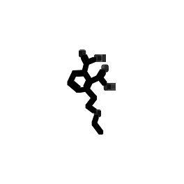 CCOCCc1cccc(C(=O)O)c1C(=O)O